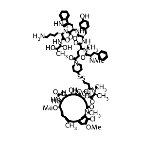 CN[C@@H](Cc1ccccc1)C(=O)N(C)[C@@H](CCC(=O)N1CCC(SSCCC(=O)N(C)[C@@H](C)C(=O)O[C@H]2CC(=O)N(C)c3cc(cc(OC)c3Cl)C/C(C)=C/C=C/[C@@H](OC)[C@@]3(O)C[C@H](OC(=O)N3)[C@@H](C)[C@@H]3O[C@@]23C)CC1)C(=O)N[C@@H](Cc1ccc(O)cc1)C(=O)N[C@H](Cc1c[nH]c2ccccc12)C(=O)N[C@@H](CCCCN)C(=O)N[C@H](O)[C@@H](C)O